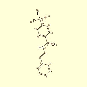 O=C(N/C=C/c1ccccc1)c1ccc(C(F)(F)F)cc1